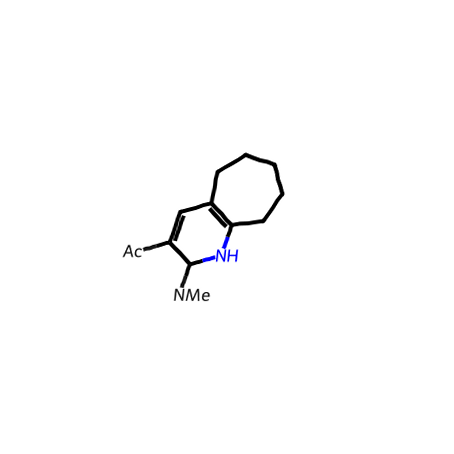 CNC1NC2=C(C=C1C(C)=O)CCCCC2